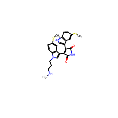 CNCCCn1cc(C2=C(c3c[nH]c4ccc(SC)cc34)C(=O)NC2=O)c2cc(SC)ccc21